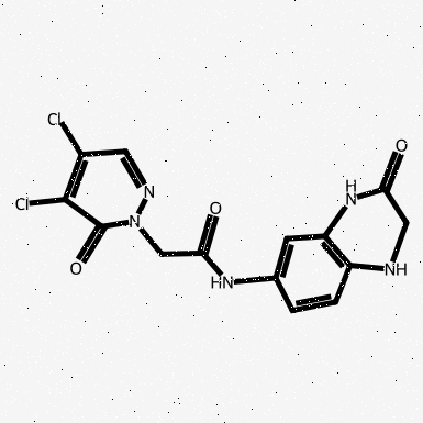 O=C(Cn1ncc(Cl)c(Cl)c1=O)Nc1ccc2c(c1)NC(=O)CN2